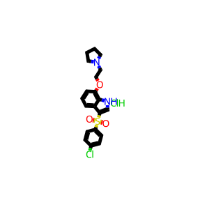 Cl.O=S(=O)(c1ccc(Cl)cc1)c1c[nH]c2c(OCCN3CCCC3)cccc12